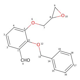 O=Cc1cccc(OCC2CO2)c1OCc1ccccc1